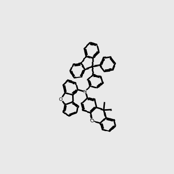 CC1(C)c2ccccc2Oc2ccc(N(c3cccc(C4(c5ccccc5)c5ccccc5-c5ccccc54)c3)c3cccc4oc5ccccc5c34)cc21